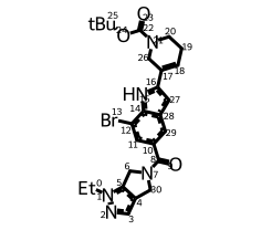 CCn1ncc2c1CN(C(=O)c1cc(Br)c3[nH]c(C4=CCCN(C(=O)OC(C)(C)C)C4)cc3c1)C2